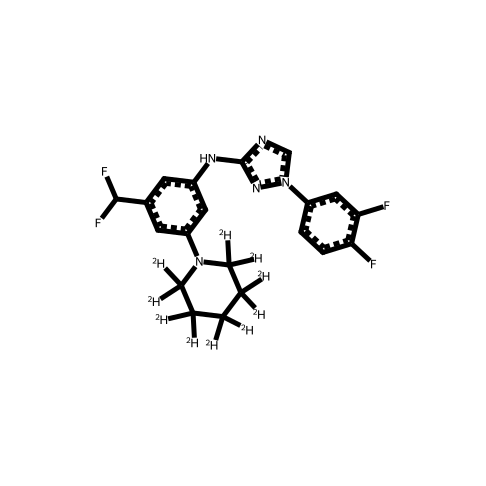 [2H]C1([2H])N(c2cc(Nc3ncn(-c4ccc(F)c(F)c4)n3)cc(C(F)F)c2)C([2H])([2H])C([2H])([2H])C([2H])([2H])C1([2H])[2H]